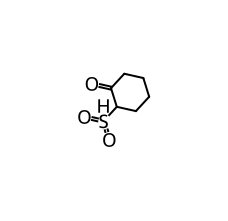 O=C1CCCCC1[SH](=O)=O